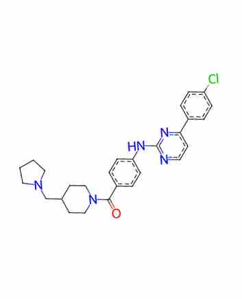 O=C(c1ccc(Nc2nccc(-c3ccc(Cl)cc3)n2)cc1)N1CCC(CN2CCCC2)CC1